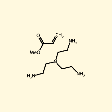 C=CC(=O)OC.NCCN(CCN)CCN